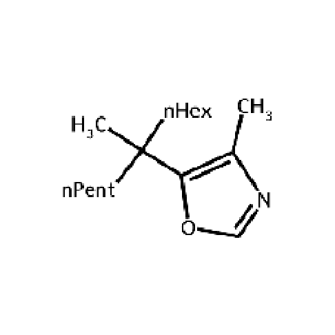 CCCCCCC(C)(CCCCC)c1ocnc1C